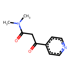 CN(C)C(=O)CC(=O)c1ccncc1